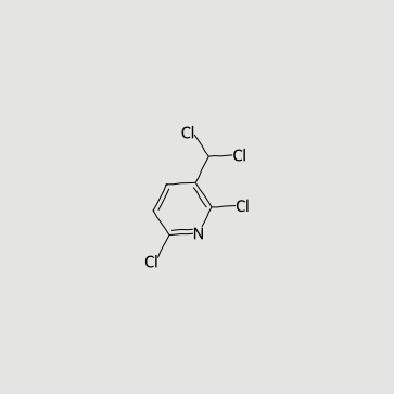 Clc1ccc(C(Cl)Cl)c(Cl)n1